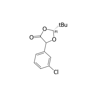 CC(C)(C)[C@H]1OC(=O)C(c2cccc(Cl)c2)O1